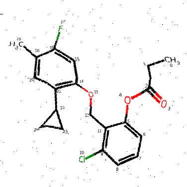 CCC(=O)Oc1cccc(Cl)c1COc1cc(F)c(C)cc1C1CC1